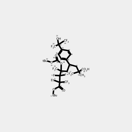 CCC(C(=O)OC(C)(C)C)(C(F)(F)F)C(F)(F)C(CC(CC(C)(C(=O)O)C(F)(F)F)c1ccc(C(O)(C(F)(F)F)C(F)(F)F)cc1)(OC(=O)OC(C)(C)C)C(F)(F)F